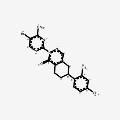 COc1nc(-n2ncc3c(c2=O)CCC(c2ccc(C)cc2C)C3)ncc1Br